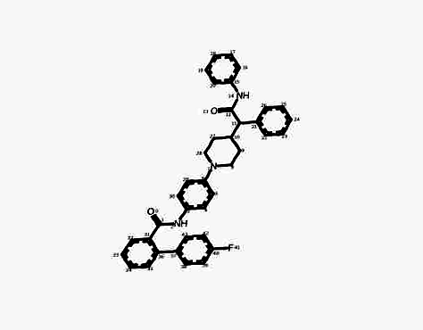 O=C(Nc1ccc(N2CCC(C(C(=O)Nc3ccccc3)c3ccccc3)CC2)cc1)c1ccccc1-c1ccc(F)cc1